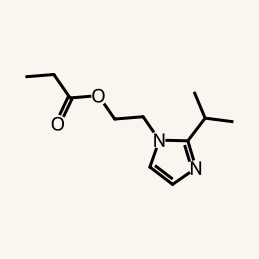 CCC(=O)OCCn1ccnc1C(C)C